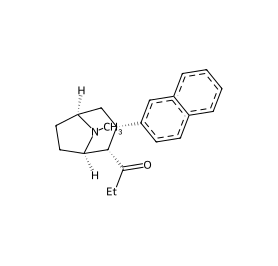 CCC(=O)[C@H]1[C@@H](c2ccc3ccccc3c2)C[C@@H]2CC[C@H]1N2C